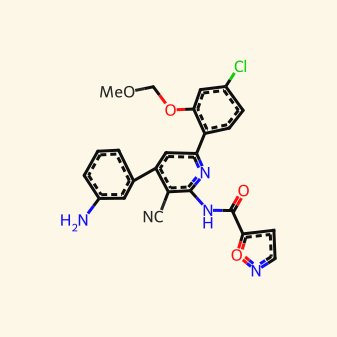 COCOc1cc(Cl)ccc1-c1cc(-c2cccc(N)c2)c(C#N)c(NC(=O)c2ccno2)n1